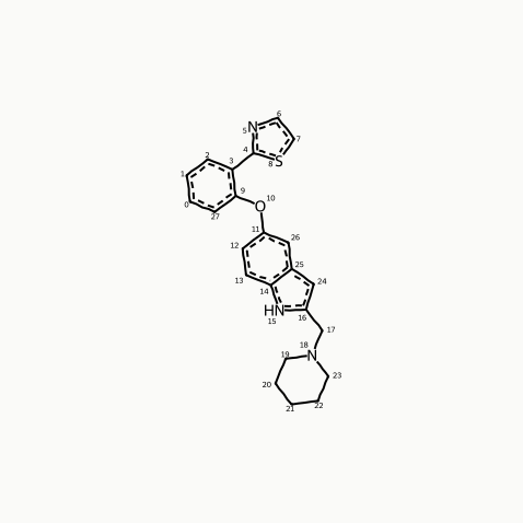 c1ccc(-c2nccs2)c(Oc2ccc3[nH]c(CN4CCCCC4)cc3c2)c1